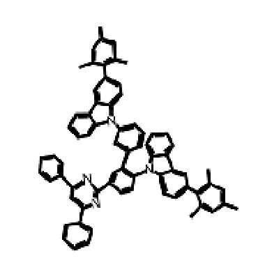 Cc1cc(C)c(-c2ccc3c(c2)c2ccccc2n3-c2cccc(-c3cc(-c4nc(-c5ccccc5)cc(-c5ccccc5)n4)ccc3-n3c4ccccc4c4cc(-c5c(C)cc(C)cc5C)ccc43)c2)c(C)c1